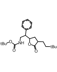 CC(C)(C)CCC1CC(C(CNC(=O)OC(C)(C)C)c2ccccc2)OC1=O